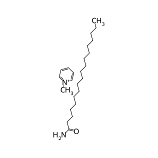 CCCCCCCCCCCCCCCCCC(N)=O.C[n+]1ccccc1